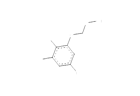 COCOc1cc(Br)cc(F)c1F